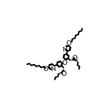 CCCCCCCCOc1ccc(-c2ccc(Oc3ccc(-c4ccc(OCCCCCCCC)cn4)cc3C[C@@H]3O[C@H]3CCCC)c(C[C@@H]3O[C@H]3CCCC)c2)nc1